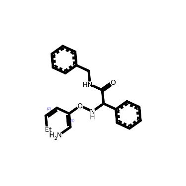 CC/C=C\C(=C/N)ONC(C(=O)NCc1ccccc1)c1ccccc1